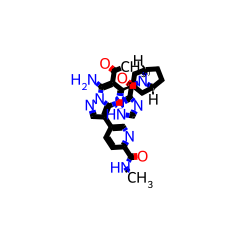 CNC(=O)c1ccc(-c2cnn3c(N)c(C(C)=O)c([C@H]4C[C@H]5CC[C@@H](C4)N5C(=O)c4nc[nH]n4)nc23)cn1